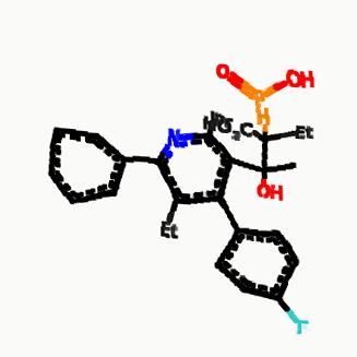 CCc1c(-c2ccccc2)nc(C(C)C)c(C(C)(O)C(CC)(C(=O)O)[PH](=O)O)c1-c1ccc(F)cc1